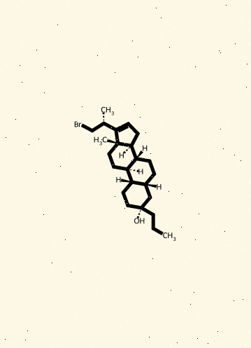 CCC[C@@]1(O)CC[C@H]2[C@H](CC[C@@H]3[C@@H]2CC[C@]2(C)C([C@@H](C)CBr)=CC[C@@H]32)C1